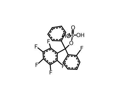 O=[As](O)(O)OC(c1ccccc1)(c1ccccc1F)c1c(F)c(F)c(F)c(F)c1F